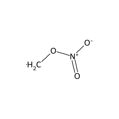 [CH2]O[N+](=O)[O-]